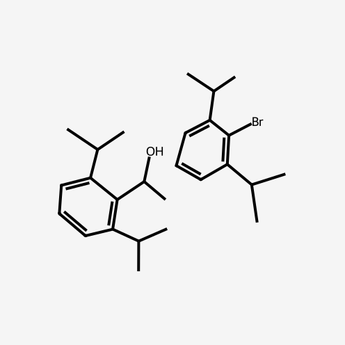 CC(C)c1cccc(C(C)C)c1Br.CC(C)c1cccc(C(C)C)c1C(C)O